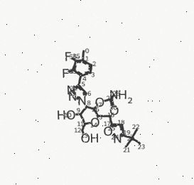 Cc1ccc(-c2cn(C3C(O)C(CO)OC(Cc4cc(C(C)(C)C)no4)C3OC(N)=O)nn2)c(F)c1F